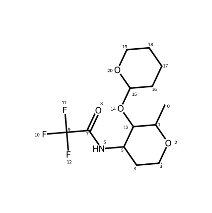 CC1O[CH]CC(NC(=O)C(F)(F)F)C1OC1CCCCO1